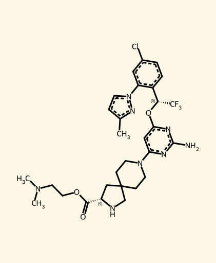 Cc1ccn(-c2cc(Cl)ccc2[C@@H](Oc2cc(N3CCC4(CC3)CN[C@H](C(=O)OCCN(C)C)C4)nc(N)n2)C(F)(F)F)n1